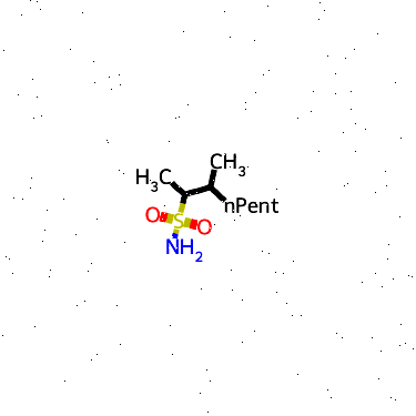 CCCCCC(C)C(C)S(N)(=O)=O